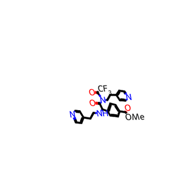 COC(=O)c1ccc(C(NCCc2ccncc2)C(=O)N(CCc2ccncc2)C(=O)C(F)(F)F)cc1